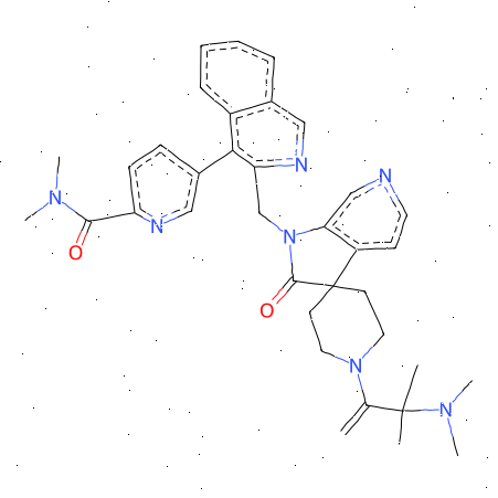 C=C(N1CCC2(CC1)C(=O)N(Cc1ncc3ccccc3c1-c1ccc(C(=O)N(C)C)nc1)c1cnccc12)C(C)(C)N(C)C